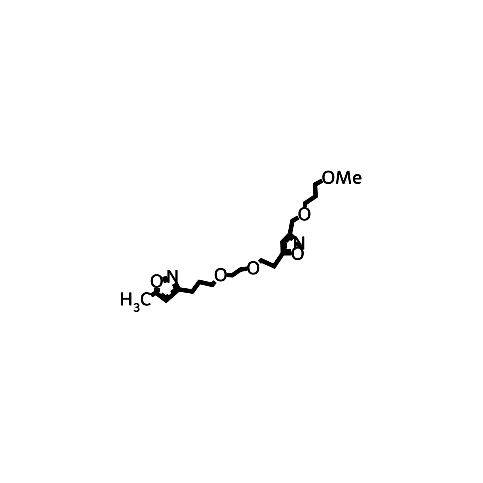 COCCCOCc1cc(CCOCCOCCCc2cc(C)on2)on1